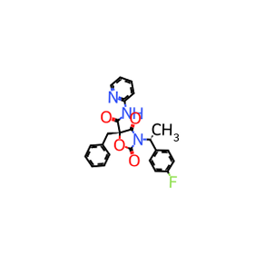 C[C@H](c1ccc(F)cc1)N1C(=O)O[C@](Cc2ccccc2)(C(=O)Nc2ccccn2)C1=O